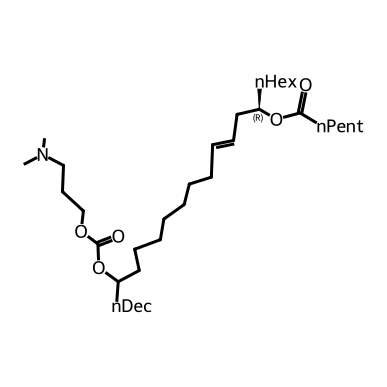 CCCCCCCCCCC(CCCCCCCC=CC[C@@H](CCCCCC)OC(=O)CCCCC)OC(=O)OCCCN(C)C